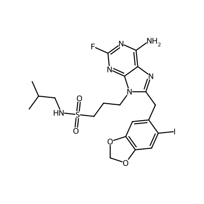 CC(C)CNS(=O)(=O)CCCn1c(Cc2cc3c(cc2I)OCO3)nc2c(N)nc(F)nc21